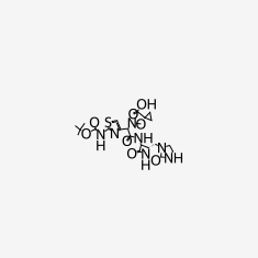 CC(C)(C)OC(=O)Nc1nc(C(=NOC2(C(=O)O)CC2)C(=O)N[C@@H]2C(=O)N[C@H]2CN2CCNC2=O)cs1